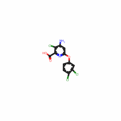 Nc1cc(Oc2ccc(Cl)c(Cl)c2)nc(C(=O)O)c1Cl